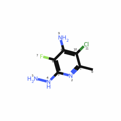 Cc1nc(NN)c(F)c(N)c1Cl